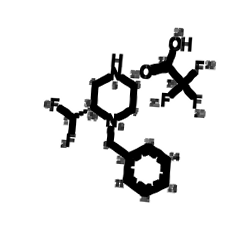 FC(F)[C@@H]1CNCCN1Cc1ccccc1.O=C(O)C(F)(F)F